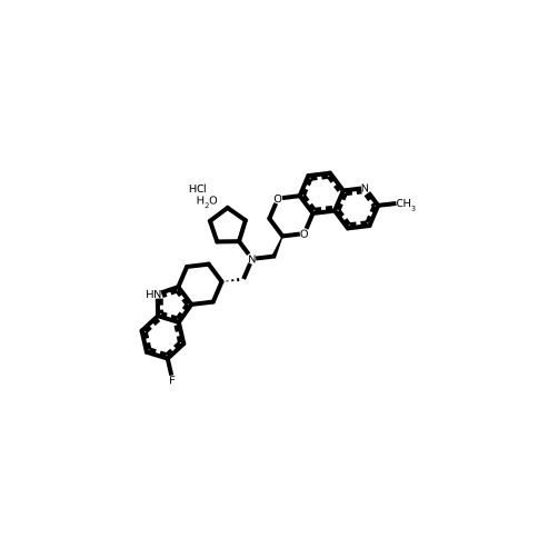 Cc1ccc2c3c(ccc2n1)OC[C@H](CN(C[C@H]1CCc2[nH]c4ccc(F)cc4c2C1)C1CCCC1)O3.Cl.O